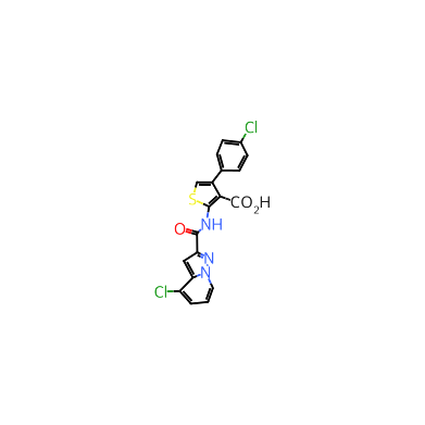 O=C(Nc1scc(-c2ccc(Cl)cc2)c1C(=O)O)c1cc2c(Cl)cccn2n1